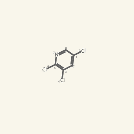 Clc1[c]c(Cl)c(Cl)nc1